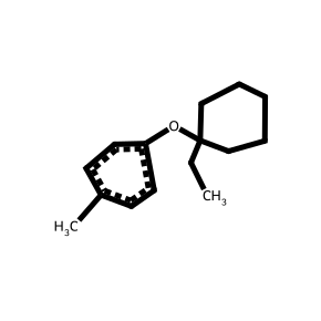 CCC1(Oc2ccc(C)cc2)CCCCC1